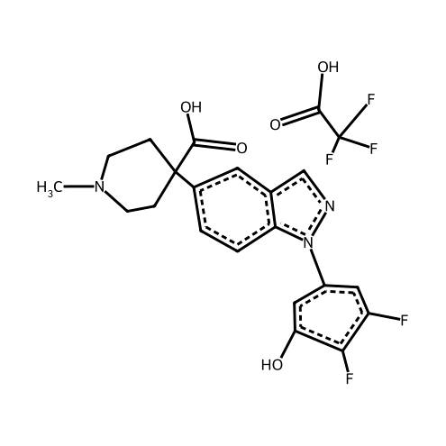 CN1CCC(C(=O)O)(c2ccc3c(cnn3-c3cc(O)c(F)c(F)c3)c2)CC1.O=C(O)C(F)(F)F